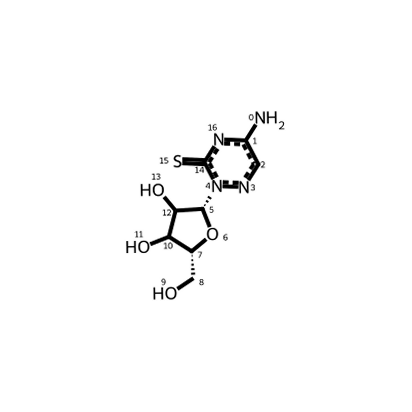 Nc1cnn([C@@H]2O[C@H](CO)C(O)C2O)c(=S)n1